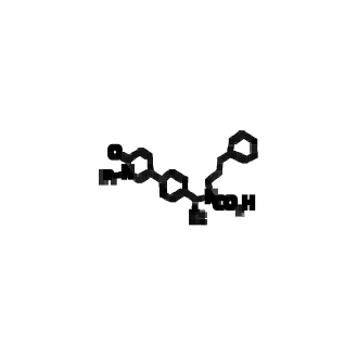 CC[C@@H](c1ccc(-c2ccc(=O)n(C(C)C)c2)cc1)N(CCCc1ccccc1)C(=O)O